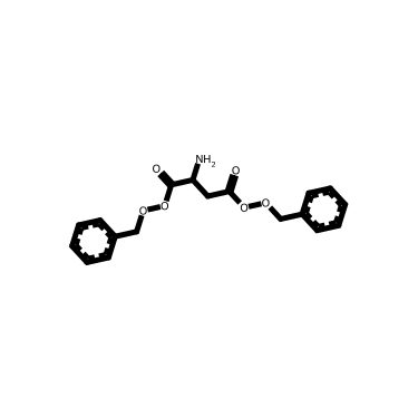 NC(CC(=O)OOCc1ccccc1)C(=O)OOCc1ccccc1